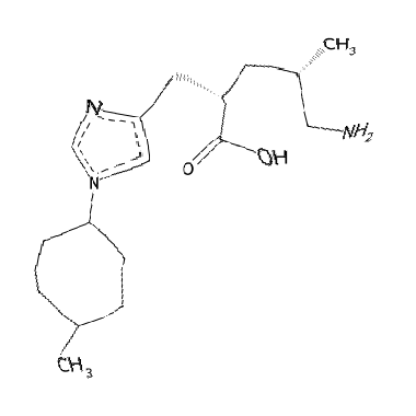 CC1CCC(n2cnc(C[C@H](C[C@H](C)CN)C(=O)O)c2)CC1